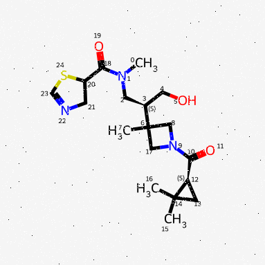 CN(C[C@@H](CO)C1(C)CN(C(=O)[C@H]2CC2(C)C)C1)C(=O)C1CN=CS1